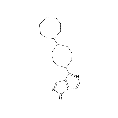 c1cc2[nH]ncc2c(C2CCCC(C3CCCCCCC3)CCC2)n1